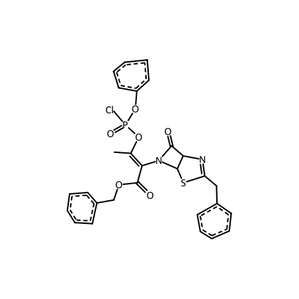 CC(OP(=O)(Cl)Oc1ccccc1)=C(C(=O)OCc1ccccc1)N1C(=O)C2N=C(Cc3ccccc3)SC21